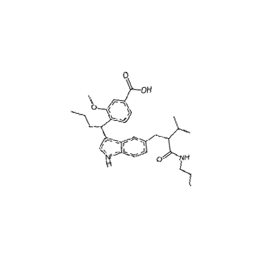 CCCNC(=O)C(Cc1ccc2[nH]cc(C(CCC)c3ccc(C(=O)O)cc3OC)c2c1)C(C)C